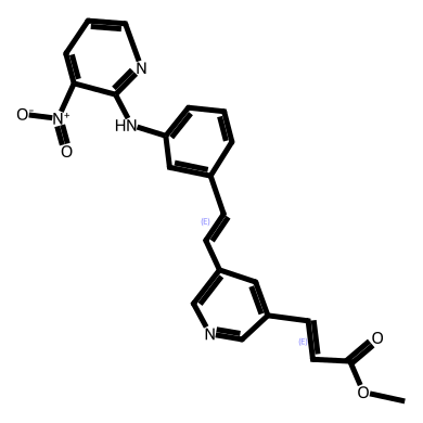 COC(=O)/C=C/c1cncc(/C=C/c2cccc(Nc3ncccc3[N+](=O)[O-])c2)c1